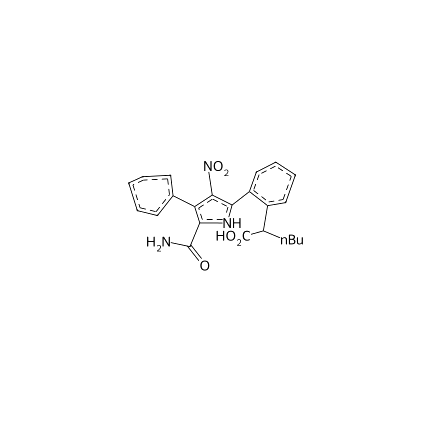 CCCCC(C(=O)O)c1ccccc1-c1[nH]c(C(N)=O)c(-c2ccccc2)c1[N+](=O)[O-]